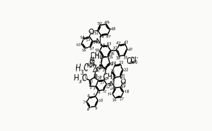 CC1=Cc2c(-c3ccccc3)cc(N3c4ccccc4Oc4ccccc43)cc2[C@@H]1[Zr+2]([C@H]1C(C)=Cc2c(-c3ccccc3)cc(N3c4ccccc4Oc4ccccc43)cc21)=[Si](C)C.[Cl-].[Cl-]